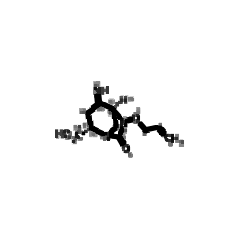 C=CCON1C(=O)N2C[C@H]1C(=N)C[C@H]2C(=O)O